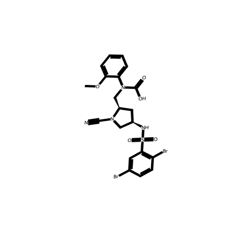 COc1ccccc1N(C[C@H]1C[C@@H](NS(=O)(=O)c2cc(Br)ccc2Br)CN1C#N)C(=O)O